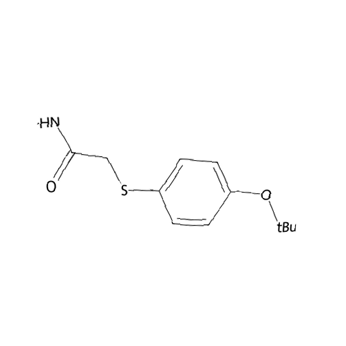 CC(C)(C)Oc1ccc(SCC([NH])=O)cc1